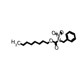 CCCCCCCCOC(=O)N(Cc1ccccc1)[N+](=O)[O-]